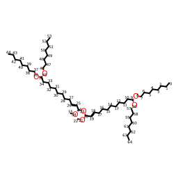 CCCCCCCCOC(CCCCCCCCC=CC(OC)OC(C=CCCCCCCCCC(OCCCCCCCC)OCCCCCCCC)OC)OCCCCCCCC